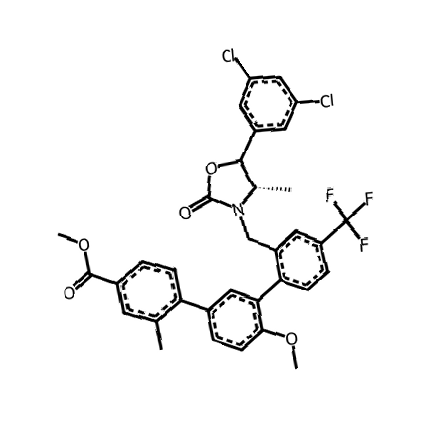 COC(=O)c1ccc(-c2ccc(OC)c(-c3ccc(C(F)(F)F)cc3CN3C(=O)OC(c4cc(Cl)cc(Cl)c4)[C@@H]3C)c2)c(C)c1